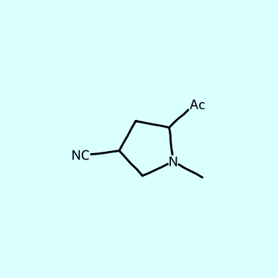 CC(=O)C1CC(C#N)CN1C